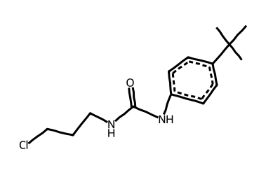 CC(C)(C)c1ccc(NC(=O)NCCCCl)cc1